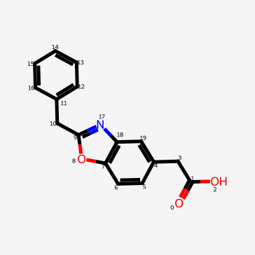 O=C(O)Cc1ccc2oc(Cc3ccccc3)nc2c1